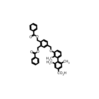 Cc1cc(C(=O)O)cc(C)c1-c1cccc(OCc2ccc(COC(=O)c3ccccc3)c(COC(=O)c3ccccc3)c2)c1C